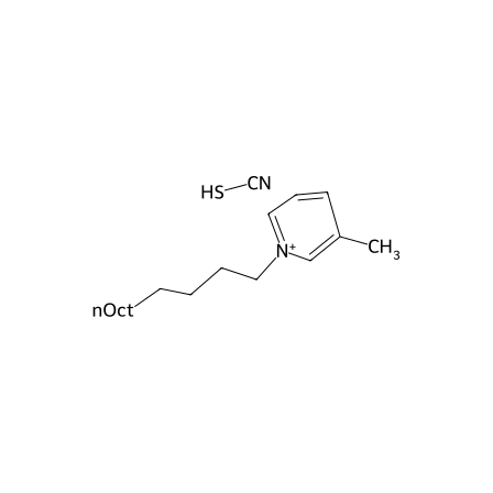 CCCCCCCCCCCC[n+]1cccc(C)c1.N#CS